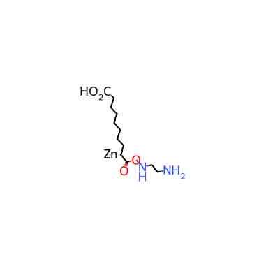 NCCNOC(=O)CCCCCCCCC(=O)O.[Zn]